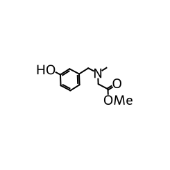 COC(=O)CN(C)Cc1cccc(O)c1